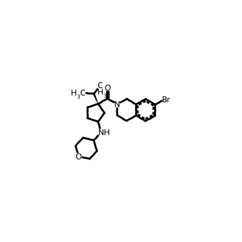 CC(C)[C@]1(C(=O)N2CCc3ccc(Br)cc3C2)CCC(NC2CCOCC2)C1